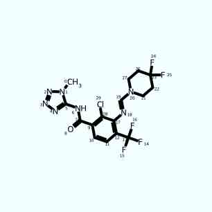 Cn1nnnc1NC(=O)c1ccc(C(F)(F)F)c(/N=C/N2CCC(F)(F)CC2)c1Cl